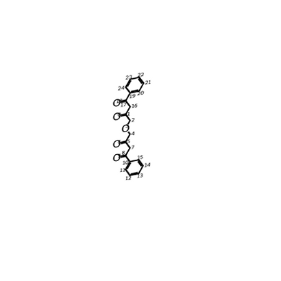 O=C(COCC(=O)CC(=O)c1ccccc1)CC(=O)c1ccccc1